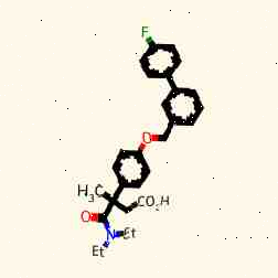 CCN(CC)C(=O)C(C)(CC(=O)O)c1ccc(OCc2cccc(-c3ccc(F)cc3)c2)cc1